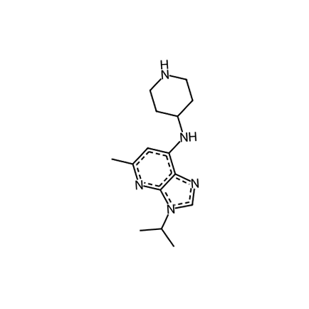 Cc1cc(NC2CCNCC2)c2ncn(C(C)C)c2n1